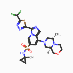 C[C@H]1CN(c2cc(S(=O)(=O)NC3(C#N)CC3)cn3c(-c4nnc(C(F)F)s4)ncc23)C[C@@H]2COCCN21